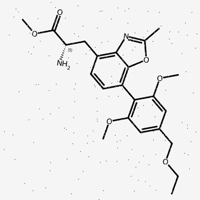 CCOCc1cc(OC)c(-c2ccc(C[C@H](N)C(=O)OC)c3nc(C)oc23)c(OC)c1